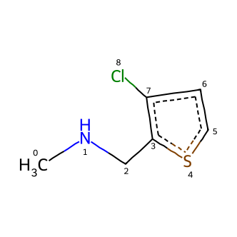 CNCc1sccc1Cl